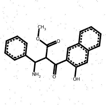 COC(=O)C(C(=O)c1cc2ccccc2cc1O)C(N)c1ccccc1